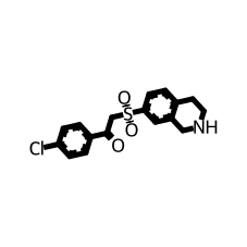 O=C(CS(=O)(=O)c1ccc2c(c1)CNCC2)c1ccc(Cl)cc1